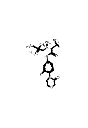 CN(CC(C)(C)C)[C@H](C(N)=O)C(=O)Nc1ccc(N2CCOCC2=O)c(F)c1